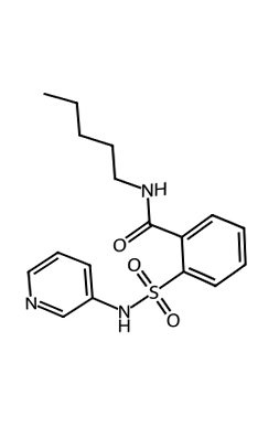 CCCCCNC(=O)c1ccccc1S(=O)(=O)Nc1cccnc1